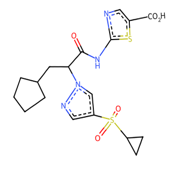 O=C(O)c1cnc(NC(=O)C(CC2CCCC2)n2cc(S(=O)(=O)C3CC3)cn2)s1